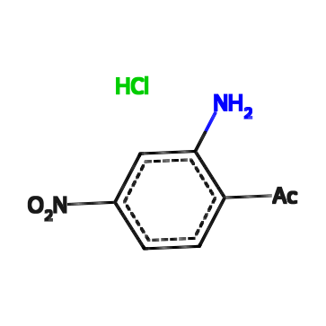 CC(=O)c1ccc([N+](=O)[O-])cc1N.Cl